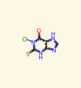 O=c1c2[nH]cnc2[nH]c(=S)n1Cl